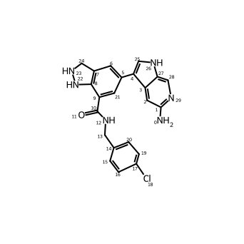 Nc1cc2c(-c3cc4c(c(C(=O)NCc5ccc(Cl)cc5)c3)NNC4)c[nH]c2cn1